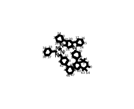 CC1CC(C)(C)c2c(-c3ccc(-n4c5ccccc5c5cc6c7ccccc7n(-c7nc(-c8ccccc8)nc(-c8ccc(-c9ccccc9)cc8)n7)c6cc54)cc3)cccc2C1(C)C